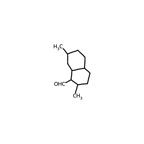 CC1CCC2CCC(C)C(C=O)C2C1